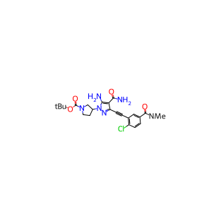 CNC(=O)c1ccc(Cl)c(C#Cc2nn(C3CCN(C(=O)OC(C)(C)C)C3)c(N)c2C(N)=O)c1